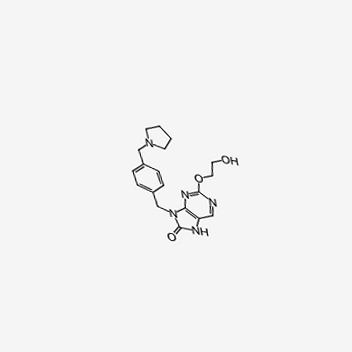 O=c1[nH]c2cnc(OCCO)nc2n1Cc1ccc(CN2CCCC2)cc1